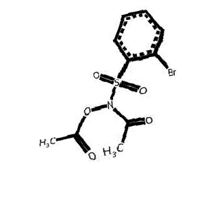 CC(=O)ON(C(C)=O)S(=O)(=O)c1ccccc1Br